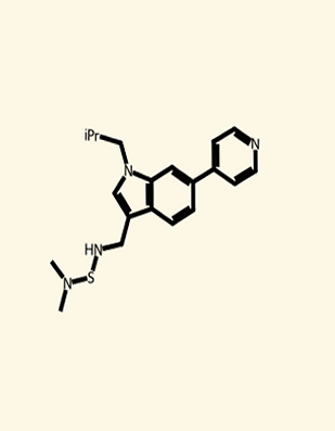 CC(C)Cn1cc(CNSN(C)C)c2ccc(-c3ccncc3)cc21